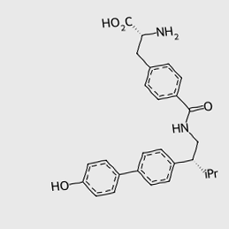 CC(C)[C@@H](CNC(=O)c1ccc(C[C@@H](N)C(=O)O)cc1)c1ccc(-c2ccc(O)cc2)cc1